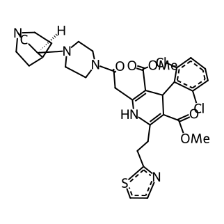 COC(=O)C1=C(CCc2nccs2)NC(CC(=O)N2CCN([C@@H]3CN4CCC3CC4)CC2)=C(C(=O)OC)C1c1c(Cl)cccc1Cl